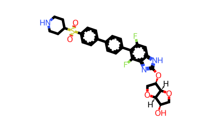 O=S(=O)(c1ccc(-c2ccc(-c3c(F)cc4[nH]c(O[C@@H]5CO[C@H]6[C@@H]5OC[C@H]6O)nc4c3F)cc2)cc1)C1CCNCC1